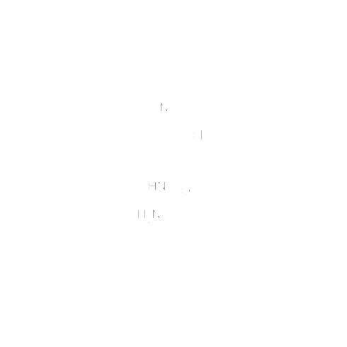 Cc1nccc(Cl)c1-c1ccc(NC(=O)C(N)C2CCCCCC2)cc1